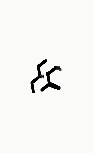 CC(=O)OP.CCNCC